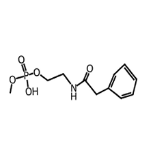 COP(=O)(O)OCCNC(=O)Cc1ccccc1